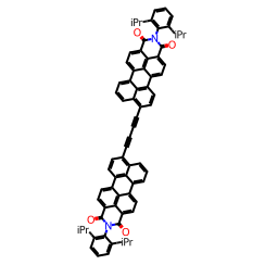 CC(C)c1cccc(C(C)C)c1N1C(=O)c2ccc3c4cccc5c(C#CC#Cc6ccc7c8ccc9c%10c(ccc(c%11cccc6c%117)c%108)C(=O)N(c6c(C(C)C)cccc6C(C)C)C9=O)ccc(c6ccc(c2c36)C1=O)c54